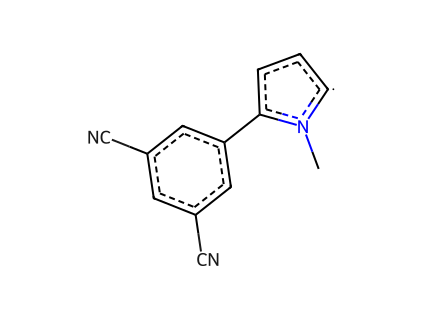 Cn1[c]ccc1-c1cc(C#N)cc(C#N)c1